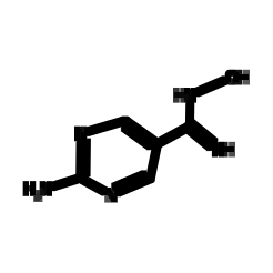 N=C(NO)c1cnc(N)nc1